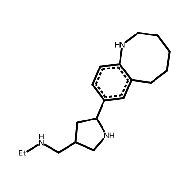 CCNCC1CNC(c2ccc3c(c2)CCCCCN3)C1